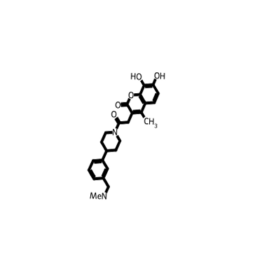 CNCc1cccc(C2CCN(C(=O)Cc3c(C)c4ccc(O)c(O)c4oc3=O)CC2)c1